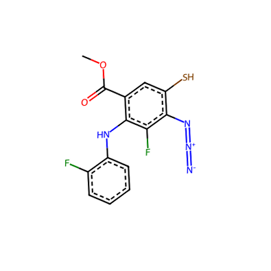 COC(=O)c1cc(S)c(N=[N+]=[N-])c(F)c1Nc1ccccc1F